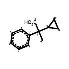 CC(C(=O)O)(c1ccccc1)C1CC1